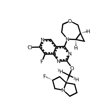 [2H]C([2H])(Oc1nc(N2CCOC[C@H]3C[C@H]32)c2cnc(Cl)c(F)c2n1)[C@@]12CCCN1C[C@H](F)C2